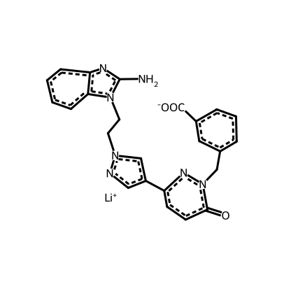 Nc1nc2ccccc2n1CCn1cc(-c2ccc(=O)n(Cc3cccc(C(=O)[O-])c3)n2)cn1.[Li+]